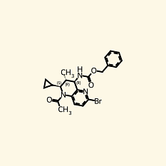 CC(=O)N1c2ccc(Br)nc2[C@H](NC(=O)OCc2ccccc2)[C@@H](C)[C@@H]1C1CC1